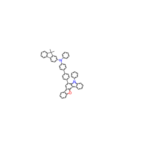 CC1(C)c2ccccc2-c2ccc(N(c3ccccc3)c3ccc(-c4ccc(-c5cc6c7ccccc7oc6c6c7ccccc7n(-c7ccccc7)c56)cc4)cc3)cc21